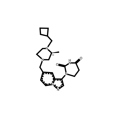 C[C@H]1CN(Cc2ccn3ncc(N4CCC(=O)NC4=O)c3c2)CCN1CC1CCC1